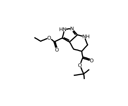 CCOC(=O)c1[nH]nc2c1CC(C(=O)OC(C)(C)C)CN2